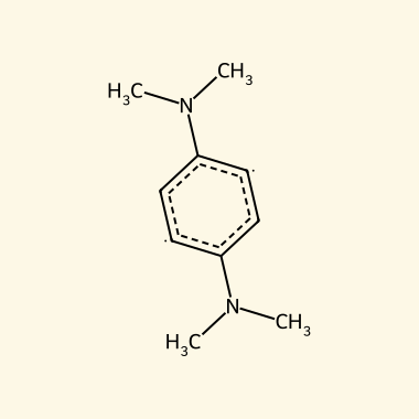 CN(C)c1[c]cc(N(C)C)[c]c1